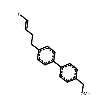 COCc1ccc(-c2ccc(CC/C=C/F)cc2)cc1